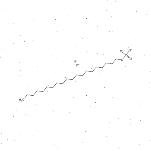 CCCCCCCCCCCCCCCCCCCCOP(=O)([O-])[O-].[K+].[K+]